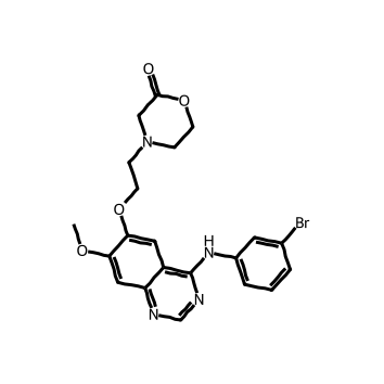 COc1cc2ncnc(Nc3cccc(Br)c3)c2cc1OCCN1CCOC(=O)C1